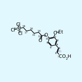 CCOc1cc(/C=C/C(=O)O)ccc1OC(=O)CCCCC[Si](Cl)(Cl)Cl